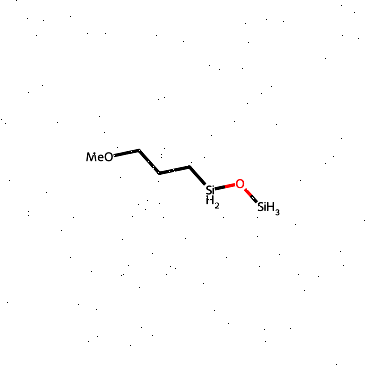 COCCC[SiH2]O[SiH3]